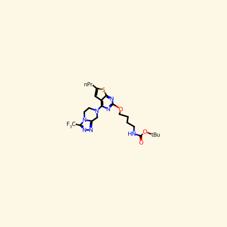 CCCc1cc2c(N3CCn4c(nnc4C(F)(F)F)C3)nc(OCCCCNC(=O)OC(C)(C)C)nc2s1